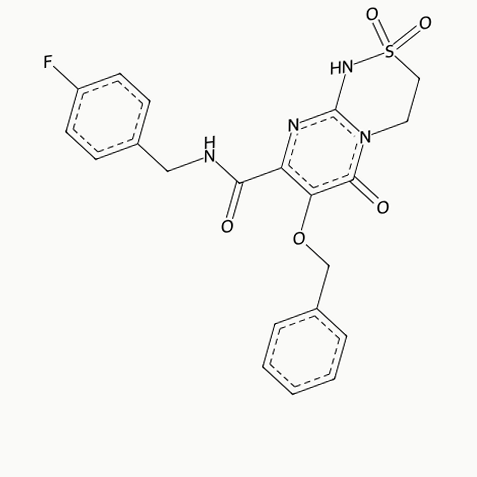 O=C(NCc1ccc(F)cc1)c1nc2n(c(=O)c1OCc1ccccc1)CCS(=O)(=O)N2